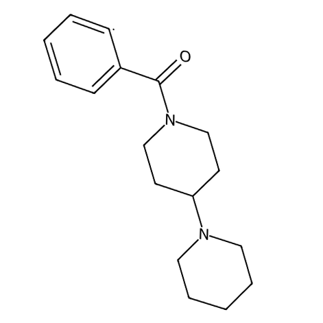 O=C(c1[c]cccc1)N1CCC(N2CCCCC2)CC1